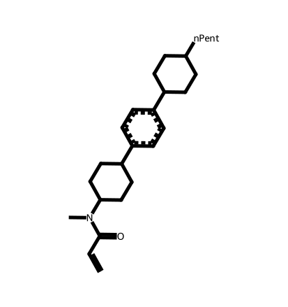 C=CC(=O)N(C)C1CCC(c2ccc(C3CCC(CCCCC)CC3)cc2)CC1